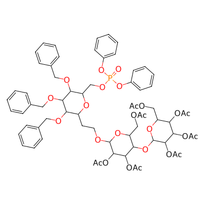 CC(=O)OCC1OC(OC2C(COC(C)=O)OC(OCCC3OC(COP(=O)(Oc4ccccc4)Oc4ccccc4)C(OCc4ccccc4)C(OCc4ccccc4)C3OCc3ccccc3)C(OC(C)=O)C2OC(C)=O)C(OC(C)=O)C(OC(C)=O)C1OC(C)=O